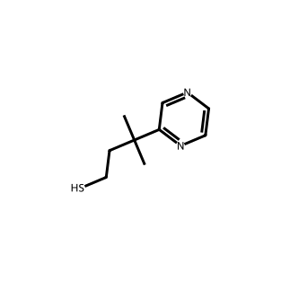 CC(C)(CCS)c1cnccn1